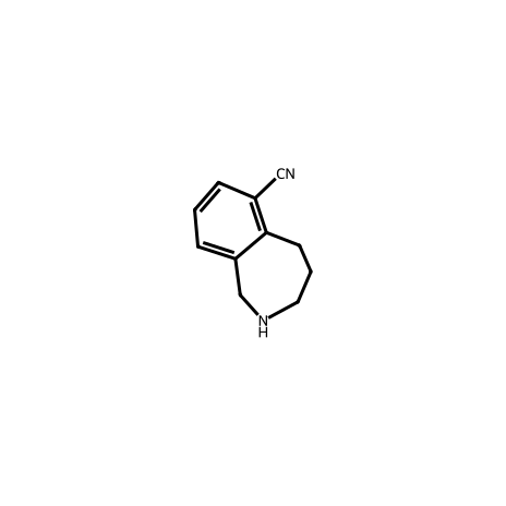 N#Cc1cccc2c1CCCNC2